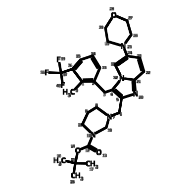 Cc1c(Cc2c(CN3CCCN(C(=O)OC(C)(C)C)C3)nc3ccc(N4CCOCC4)cn23)cccc1C(F)(F)F